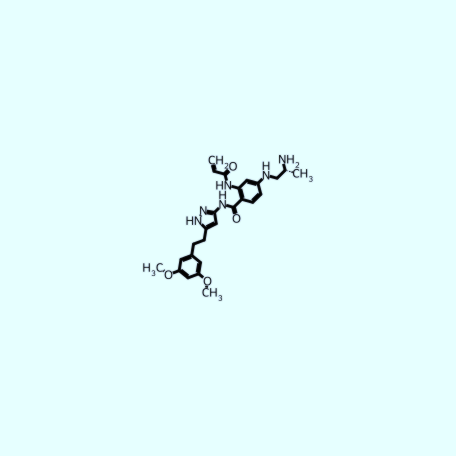 C=CC(=O)Nc1cc(NC[C@@H](C)N)ccc1C(=O)Nc1cc(CCc2cc(OC)cc(OC)c2)[nH]n1